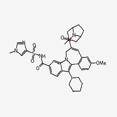 COc1ccc2c(c1)C=C(C(=O)N1C3CCC1CN(C)C3)Cn1c-2c(C2CCCCC2)c2ccc(C(=O)NS(=O)(=O)c3cn(C)cn3)cc21